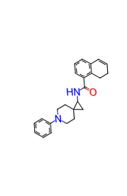 O=C(NC1CC12CCN(c1ccccc1)CC2)c1cccc2c1CCC=C2